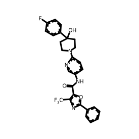 O=C(Nc1ccc(N2CCC(O)(c3ccc(F)cc3)CC2)nc1)c1oc(-c2ccccc2)nc1C(F)(F)F